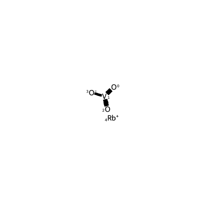 [O]=[V](=[O])[O-].[Rb+]